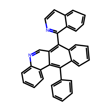 c1ccc(-c2c3ccccc3c(-c3nccc4ccccc34)c3cnc4ccccc4c23)cc1